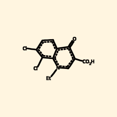 CCn1cc(C(=O)O)c(=O)c2ccc(Cl)c(Cl)c21